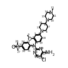 COc1cc(N2CCC(N3CCN(C)CC3)CC2)ccc1N(c1ccc(P(C)(C)=O)cc1)c1nnc(Cl)c(N)n1